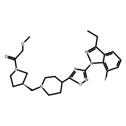 CCc1nn(-c2noc(C3CCN(C[C@H]4CCN(C(=O)COC)C4)CC3)n2)c2c(F)cccc12